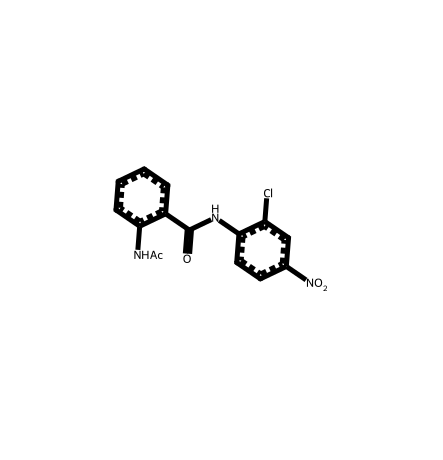 CC(=O)Nc1ccccc1C(=O)Nc1ccc([N+](=O)[O-])cc1Cl